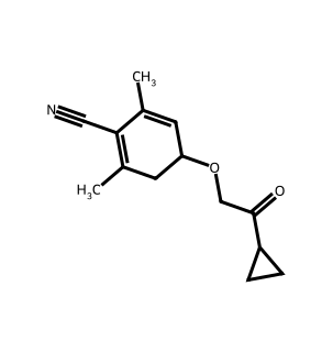 CC1=CC(OCC(=O)C2CC2)CC(C)=C1C#N